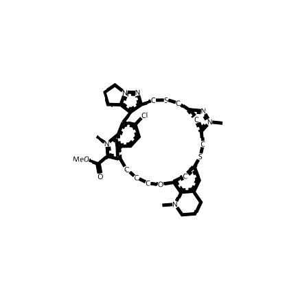 COC(=O)c1c2c3ccc(Cl)c(c3n1C)-c1c(nn3c1CCC3)CSCc1cc(n(C)n1)CSc1cc3c(c(c1)OCCC2)N(C)CCC3